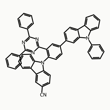 N#Cc1ccc2c(c1)c1ccccc1n2-c1ccc(-c2ccc3c4ccccc4n(-c4ccccc4)c3c2)cc1-c1nc(-c2ccccc2)nc(-c2ccccc2)n1